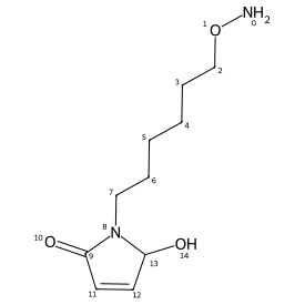 NOCCCCCCN1C(=O)C=CC1O